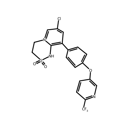 O=S1(=O)CC[n+]2cc(Cl)cc(-c3ccc(Oc4ccc(C(F)(F)F)nc4)cc3)c2N1